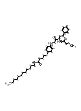 CCCCCCCCCCCCNC(=O)CCCOc1ccc(NCC(=O)N(CCc2ccccc2)NC(=O)CSC)cc1